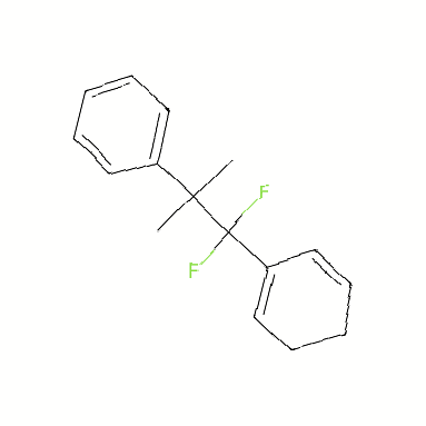 CC(C)(c1ccccc1)C(F)(F)C1=CCCC=C1